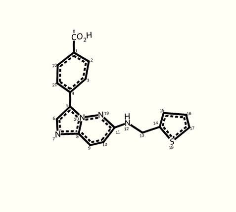 O=C(O)c1ccc(-c2cnc3ccc(NCc4cccs4)nn23)cc1